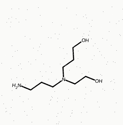 NCCCN(CCO)CCCO